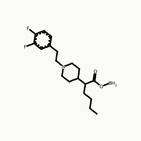 BOC(=O)C(CCCC)C1CCN(CCc2ccc(F)c(F)c2)CC1